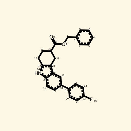 O=C(OCc1ccccc1)C1CCc2[nH]c3ccc(-c4ccc(F)cc4)cc3c2C1